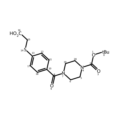 CC(C)(C)OC(=O)N1CCN(C(=O)c2ccc(SCC(=O)O)cc2)CC1